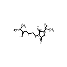 CC(C)C(=O)CCCCN1C(=O)CC(C(C)C)C1=O